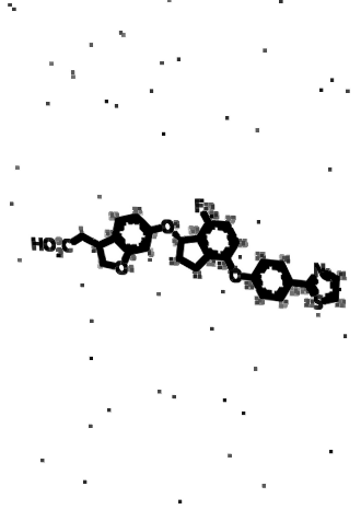 O=C(O)CC1COc2cc(O[C@@H]3CCc4c(Oc5ccc(-c6nccs6)cc5)ccc(F)c43)ccc21